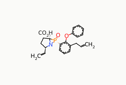 C=CCc1cccc([P@]2(=O)N3[C@@H](C=C)CC[C@]32C(=O)O)c1Oc1ccccc1